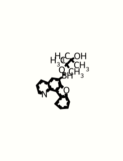 CC(C)(O)C(C)(C)OBc1cc2cccnc2c2c1oc1ccccc12